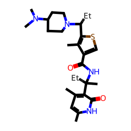 CCC(c1scc(C(=O)NC(C)(CC)c2c(C)cc(C)[nH]c2=O)c1C)N1CCC(N(C)C)CC1